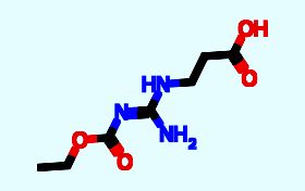 CCOC(=O)/N=C(\N)NCCC(=O)O